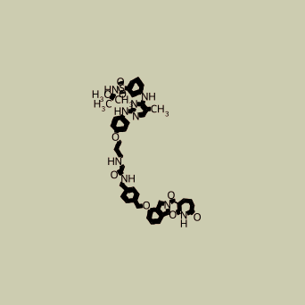 Cc1cnc(Nc2ccc(OCCCNCC(=O)NCc3ccc(COc4cccc5c4CN(C(=O)[C@H]4CCCC(=O)NC4=O)C5)cc3)cc2)nc1Nc1cccc(S(=O)(=O)NC(C)(C)C)c1